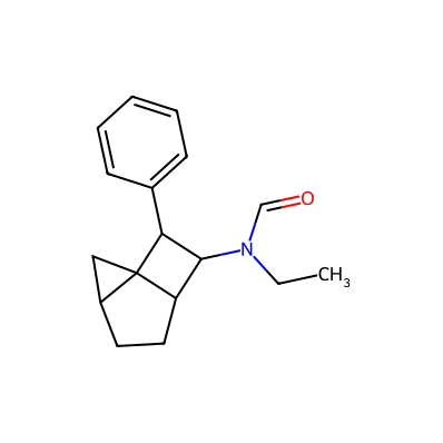 CCN(C=O)C1C2CCC3CC32C1c1ccccc1